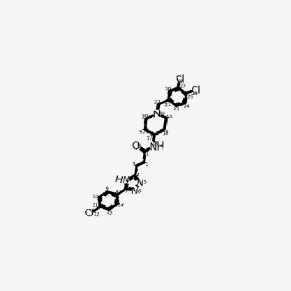 O=C(CCc1nnc(-c2ccc(Cl)cc2)[nH]1)NC1CCN(Cc2ccc(Cl)c(Cl)c2)CC1